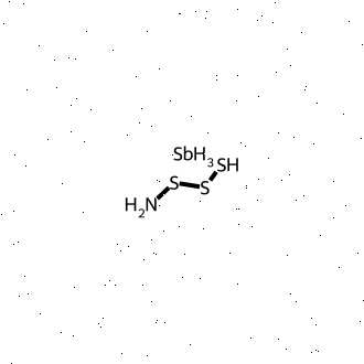 NSSS.[SbH3]